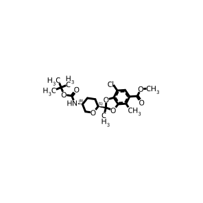 COC(=O)c1cc(Cl)c2c(c1C)OC(C)([C@@H]1CC[C@@H](NC(=O)OC(C)(C)C)CO1)O2